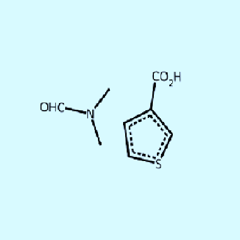 CN(C)C=O.O=C(O)c1ccsc1